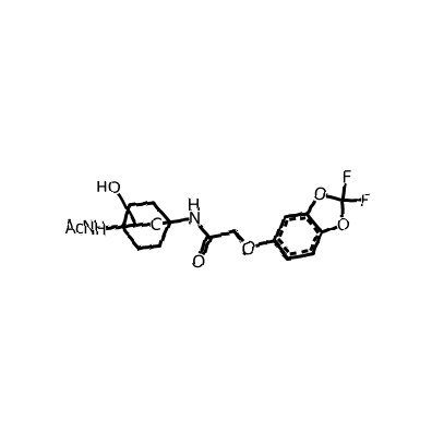 CC(=O)NC12CCC(NC(=O)COc3ccc4c(c3)OC(F)(F)O4)(CC1)CC2O